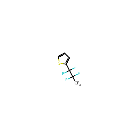 FC(F)(F)C(F)(F)C(F)(F)c1cccs1